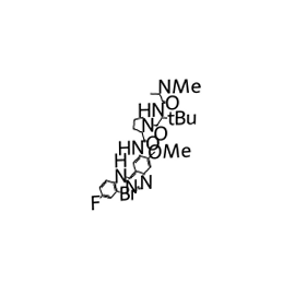 CNC(C)C(=O)NC(C(=O)N1CCCC1C(=O)Nc1cc2c(Nc3ccc(F)cc3Br)ncnc2cc1OC)C(C)(C)C